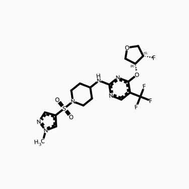 Cn1cc(S(=O)(=O)N2CCC(Nc3ncc(C(F)(F)F)c(O[C@@H]4COC[C@@H]4F)n3)CC2)cn1